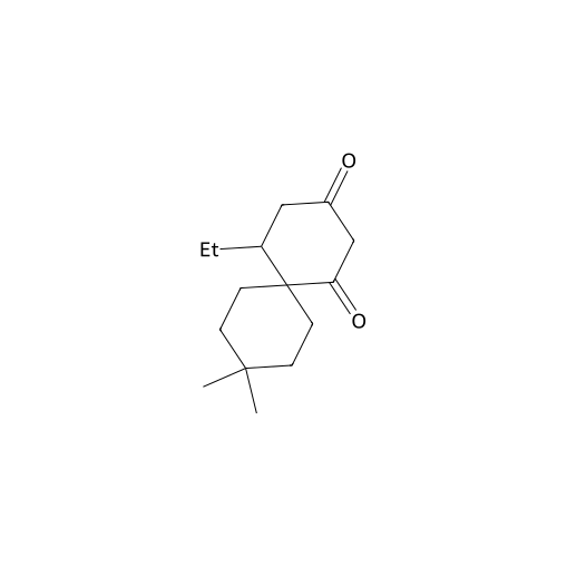 CCC1CC(=O)CC(=O)C12CCC(C)(C)CC2